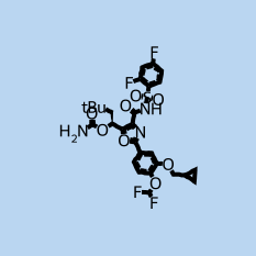 CC(C)(C)C[C@H](OC(N)=O)c1oc(-c2ccc(OC(F)F)c(OCC3CC3)c2)nc1C(=O)NS(=O)(=O)c1ccc(F)cc1F